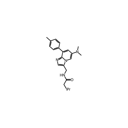 Cc1ccc(-c2cc(N(C)C)cn3c(CNC(=O)CC(C)C)cnc23)cc1